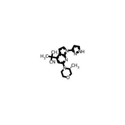 C[C@@H]1COCCN1c1cc(C(C)(C)C#N)c2ccn(-c3cc[nH]n3)c2n1